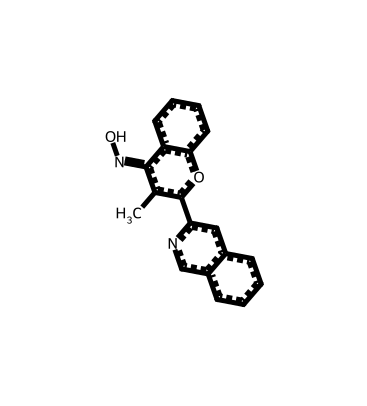 Cc1c(-c2cc3ccccc3cn2)oc2ccccc2/c1=N\O